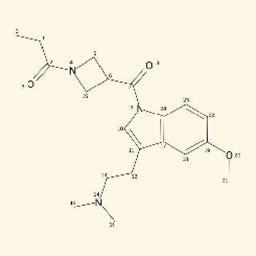 CCC(=O)N1CC(C(=O)n2cc(CCN(C)C)c3cc(OC)ccc32)C1